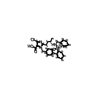 CCCCc1nc(Cl)c(C(=O)O)n1Cc1ccc(-c2ccccc2S(=O)(=O)NCc2ccccc2)cc1